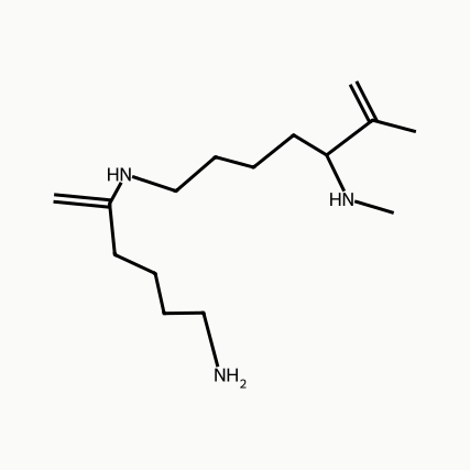 C=C(CCCCN)NCCCCC(NC)C(=C)C